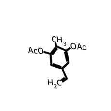 C=Cc1cc(OC(C)=O)c(C)c(OC(C)=O)c1